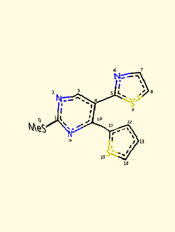 CSc1ncc(-c2nccs2)c(-c2cccs2)n1